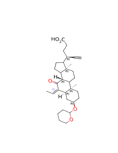 C#C[C@H](CCC(=O)O)C1CCC2[C@H]3C(=O)/C(=C\C)[C@@H]4C[C@H](OC5CCCCO5)CC[C@]4(C)C3CC[C@@]21C